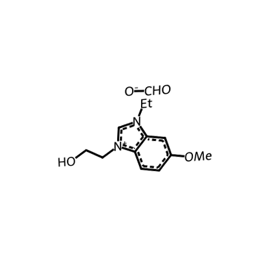 CCn1c[n+](CCO)c2ccc(OC)cc21.O=C[O-]